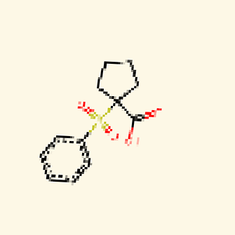 O=C(O)C1(S(=O)(=O)c2ccccc2)CCCC1